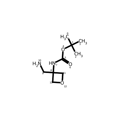 CC(C)(C)OC(=O)NC1(CN)COC1